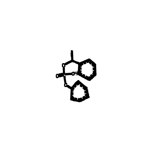 CC(OP(=O)(O)Oc1ccccc1)c1ccccc1